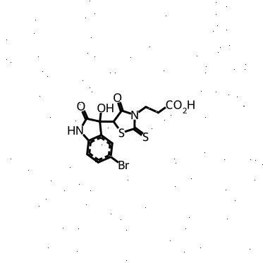 O=C(O)CCN1C(=O)C(C2(O)C(=O)Nc3ccc(Br)cc32)SC1=S